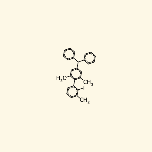 Cc1cccc(-c2c(C)cc(C(c3ccccc3)c3ccccc3)cc2C)c1I